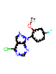 CCOc1cc(F)ccc1-n1ncc2c(Cl)ncnc21